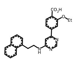 CCOc1cc(-c2cc(NCCc3cccc4ccccc34)ncn2)ccc1C(=O)O